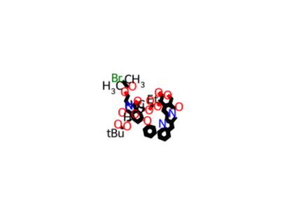 CC[C@@]1(OC(=O)OC(C)[C@]23O[C@](COC(=O)C(C)(C)C)(C=C2Oc2ccccc2)[C@@H]2C(=O)N(CCOC(=O)C(C)(C)Br)C(=O)[C@@H]23)C(=O)OCc2c1cc1n(c2=O)Cc2cc3ccccc3nc2-1